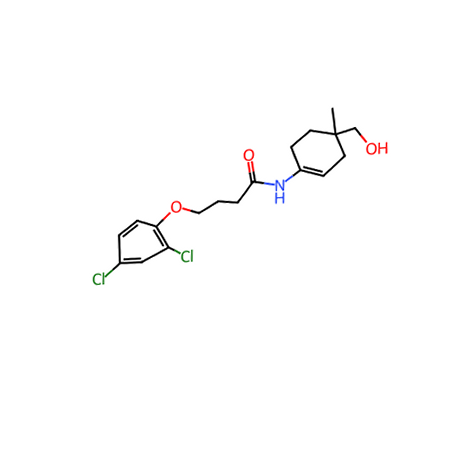 CC1(CO)CC=C(NC(=O)CCCOc2ccc(Cl)cc2Cl)CC1